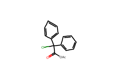 [CH2]C(=O)OC(=O)C(Cl)(c1ccccc1)c1ccccc1